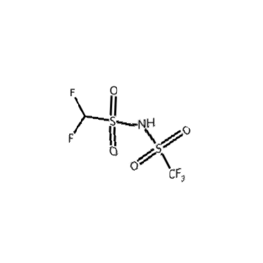 O=S(=O)(NS(=O)(=O)C(F)(F)F)C(F)F